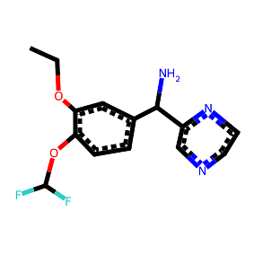 CCOc1cc(C(N)c2cnccn2)ccc1OC(F)F